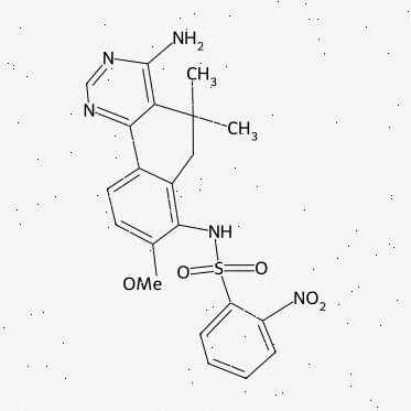 COc1ccc2c(c1NS(=O)(=O)c1ccccc1[N+](=O)[O-])CC(C)(C)c1c(N)ncnc1-2